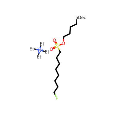 CCCCCCCCCCCCCCOS(=O)(=O)CCCCCCCCF.CC[N+](CC)(CC)CC